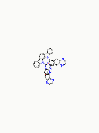 c1ccc(-c2cccc(-n3c4ccccc4c4ccc5c6ccccc6n(-c6nc(-c7ccc8nccnc8c7)nc(-c7ccc8nccnc8c7)n6)c5c43)c2)nc1